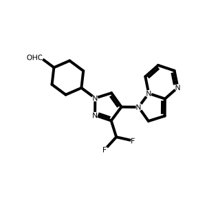 O=CC1CCC(n2cc(N3CC=C4N=CC=CN43)c(C(F)F)n2)CC1